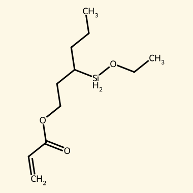 C=CC(=O)OCCC(CCC)[SiH2]OCC